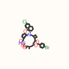 CC1C/C=C/[C@H](OC(=O)c2ccc(Br)cc2)C2CCC2CN2C[C@@]3(CCCc4cc(Cl)ccc43)COc3ccc(cc32)C(=O)NS(=O)(=O)C1C